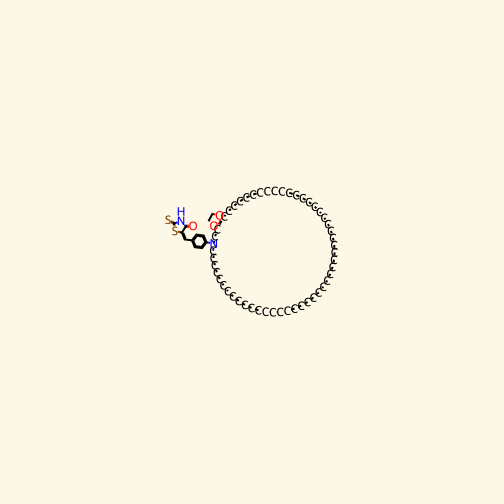 O=C1NC(=S)SC1=Cc1ccc(N2CCCCCCCCCCCCCCCCCCCCCCCCCCCCCCCCCCCCCCCCCCCCCCCCC3(CC2)OCCO3)cc1